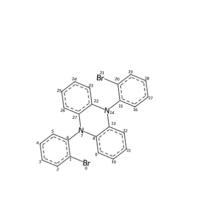 Brc1ccccc1N1c2ccccc2N(c2ccccc2Br)c2ccccc21